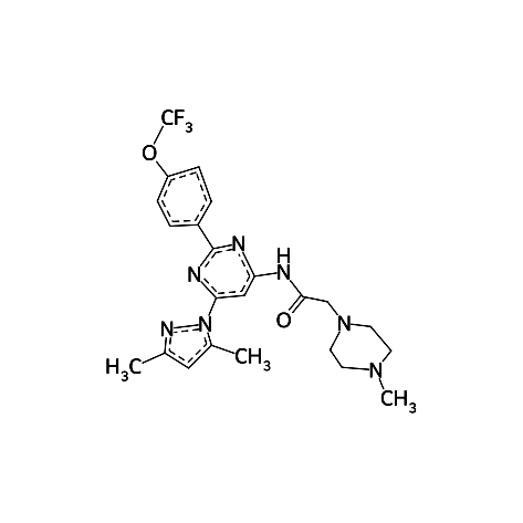 Cc1cc(C)n(-c2cc(NC(=O)CN3CCN(C)CC3)nc(-c3ccc(OC(F)(F)F)cc3)n2)n1